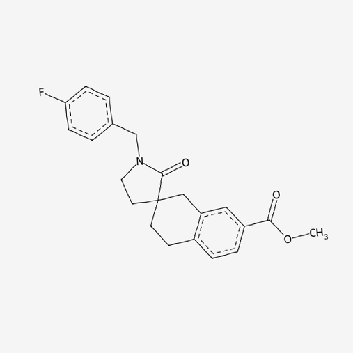 COC(=O)c1ccc2c(c1)CC1(CC2)CCN(Cc2ccc(F)cc2)C1=O